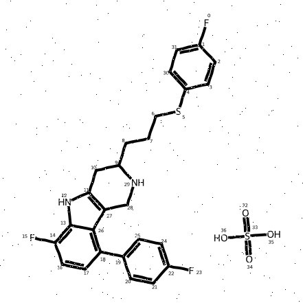 Fc1ccc(SCCCC2Cc3[nH]c4c(F)ccc(-c5ccc(F)cc5)c4c3CN2)cc1.O=S(=O)(O)O